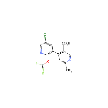 Cc1cc(-c2cc(Cl)cnc2OC(F)F)c(C(=O)O)cn1